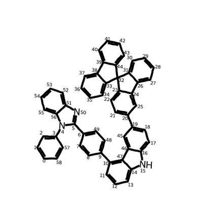 c1ccc(-n2c(-c3ccc(-c4cccc5[nH]c6ccc(-c7ccc8c(c7)-c7ccccc7C87c8ccccc8-c8ccccc87)cc6c45)cc3)nc3ccccc32)cc1